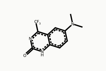 CN(C)c1ccc2[nH]c(=O)nc(C(F)(F)F)c2c1